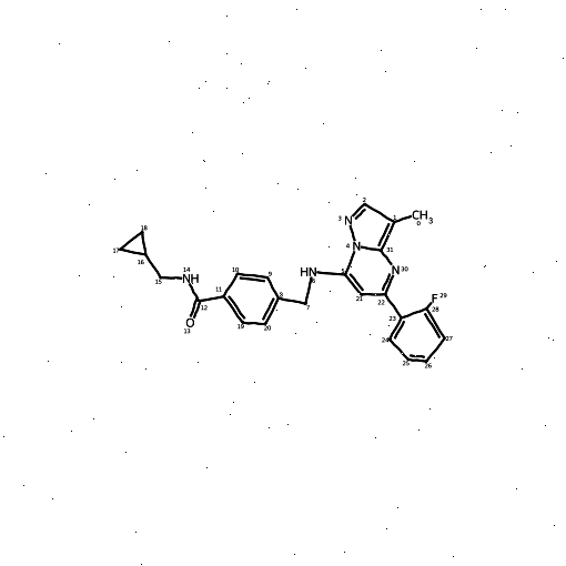 Cc1cnn2c(NCc3ccc(C(=O)NCC4CC4)cc3)cc(-c3ccccc3F)nc12